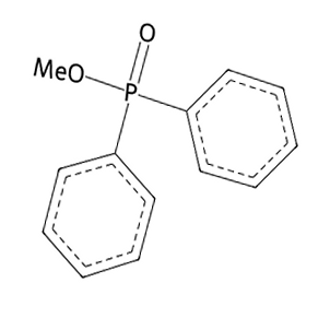 [CH2]OP(=O)(c1ccccc1)c1ccccc1